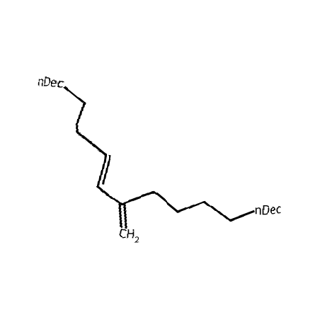 C=C(C=CCCCCCCCCCCCC)CCCCCCCCCCCCCC